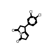 O=C1CC=C2C(c3ccc(Cl)c(Cl)c3)CC(=O)N12